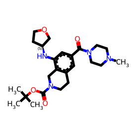 CN1CCN(C(=O)c2cc3c(c(N[C@H]4CCOC4)c2)CN(C(=O)OC(C)(C)C)CC3)CC1